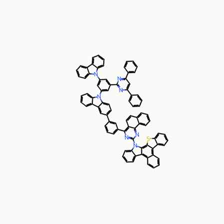 c1ccc(-c2cc(-c3ccccc3)nc(-c3cc(-n4c5ccccc5c5ccccc54)cc(-n4c5ccccc5c5cc(-c6cccc(-c7nc(-n8c9ccccc9c9c%10ccccc%10c%10c%11ccccc%11sc%10c98)nc8c7ccc7ccccc78)c6)ccc54)c3)n2)cc1